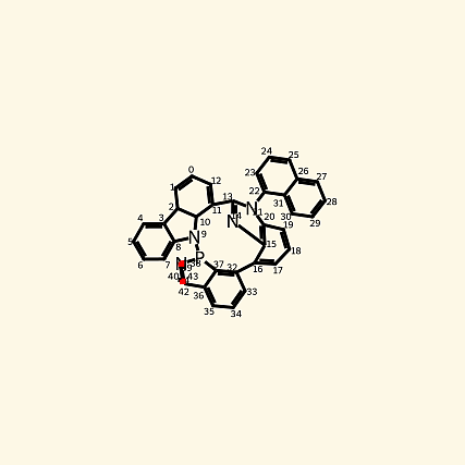 C1=CC2c3ccccc3N3C2C(=C1)c1nc2c(cccc2n1-c1cccc2ccccc12)-c1cccc2c1P3N1C=CC=CC21